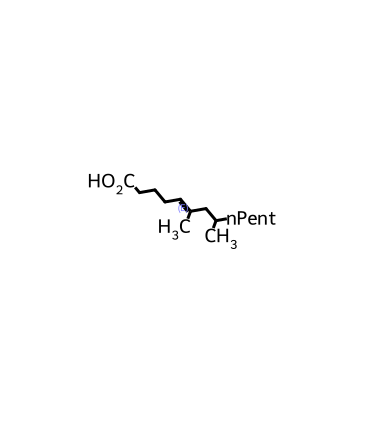 CCCCCC(C)C/C(C)=C/CCCC(=O)O